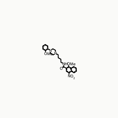 COc1ccccc1N1CCN(CCCCNC(=O)c2cc([N+](=O)[O-])c3ccccc3c2OC)CC1